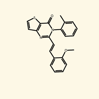 COc1ccccc1C=Cc1nc2ccsc2c(=O)n1-c1ccccc1C